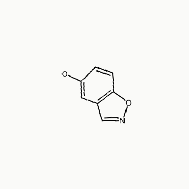 [O]c1ccc2oncc2c1